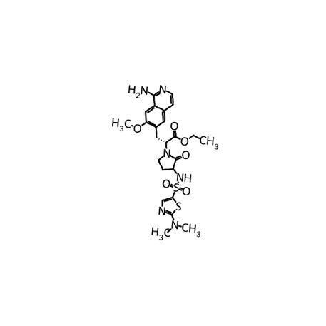 CCOC(=O)[C@@H](Cc1cc2ccnc(N)c2cc1OC)N1CCC(NS(=O)(=O)c2cnc(N(C)C)s2)C1=O